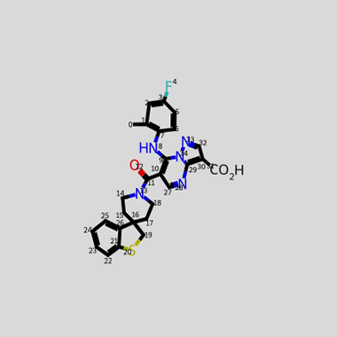 Cc1cc(F)ccc1Nc1c(C(=O)N2CCC3(CC2)CSc2ccccc23)cnc2c(C(=O)O)cnn12